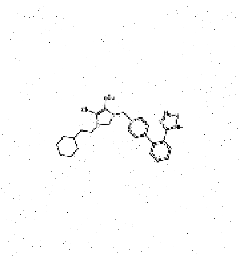 CCCCC1=C(Cl)N(CCC2CCCCC2)CN1Cc1ccc(-c2ccccc2-c2nnn[nH]2)cc1